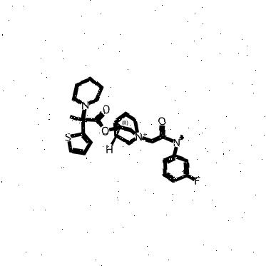 CN(C(=O)C[N+]12CCC(CC1)[C@@H](OC(=O)C(C)(c1cccs1)N1CCCCC1)C2)c1cccc(F)c1